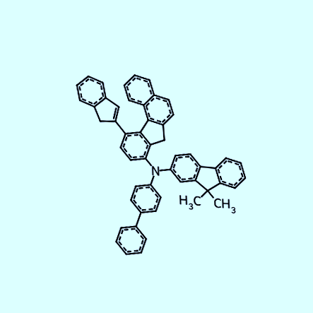 CC1(C)c2ccccc2-c2ccc(N(c3ccc(-c4ccccc4)cc3)c3ccc(C4=Cc5ccccc5C4)c4c3Cc3ccc5ccccc5c3-4)cc21